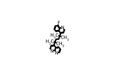 CC(C)(CCC(C)(C)c1ccnc2c(F)cccc12)c1ccnc2ncccc12